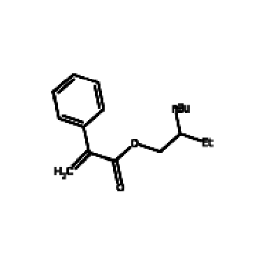 C=C(C(=O)OCC(CC)CCCC)c1ccccc1